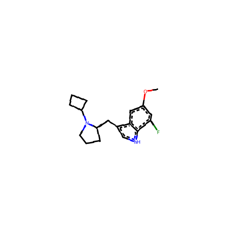 COc1cc(F)c2[nH]cc(CC3CCCN3C3CCC3)c2c1